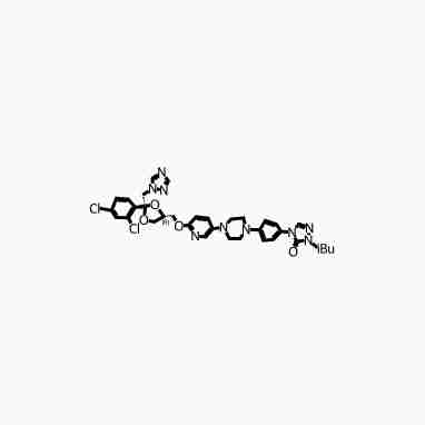 CCC(C)n1ncn(-c2ccc(N3CCN(c4ccc(OC[C@@H]5CO[C@@](Cn6cncn6)(c6ccc(Cl)cc6Cl)O5)nc4)CC3)cc2)c1=O